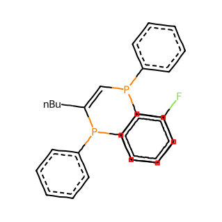 CCCC/C(=C/P(c1ccccc1)c1ccccc1F)P(c1ccccc1)c1ccccc1